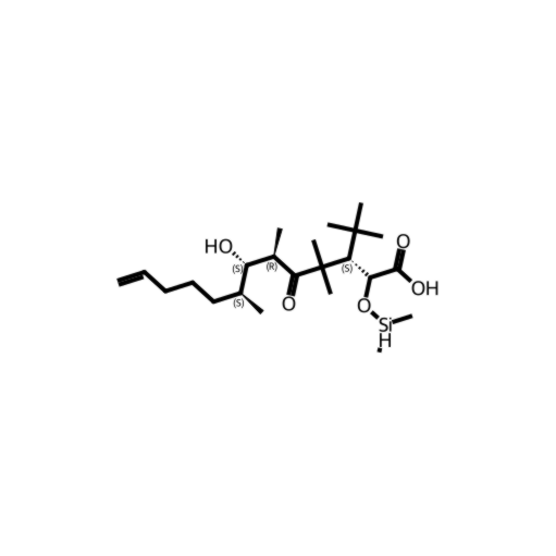 C=CCCC[C@H](C)[C@H](O)[C@@H](C)C(=O)C(C)(C)[C@@H](C(O[SiH](C)C)C(=O)O)C(C)(C)C